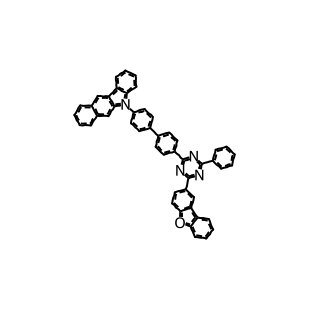 c1ccc(-c2nc(-c3ccc(-c4ccc(-n5c6ccccc6c6cc7ccccc7cc65)cc4)cc3)nc(-c3ccc4oc5ccccc5c4c3)n2)cc1